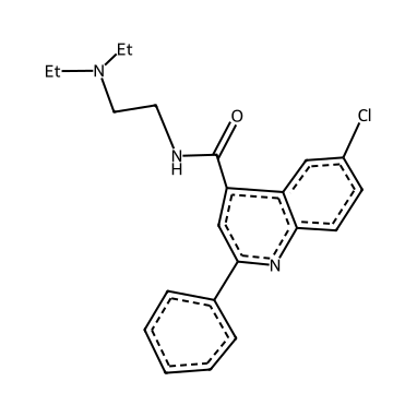 CCN(CC)CCNC(=O)c1cc(-c2ccccc2)nc2ccc(Cl)cc12